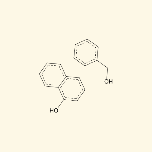 OCc1ccccc1.Oc1cccc2ccccc12